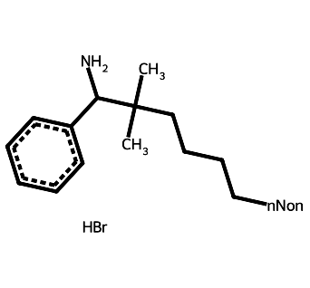 Br.CCCCCCCCCCCCCC(C)(C)C(N)c1ccccc1